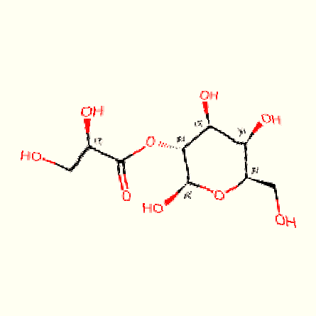 O=C(O[C@@H]1[C@@H](O)[C@@H](O)[C@@H](CO)O[C@H]1O)[C@H](O)CO